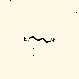 CCCCCC[N]